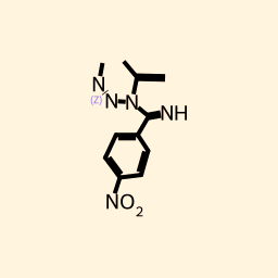 C=C(C)N(/N=N\C)C(=N)c1ccc([N+](=O)[O-])cc1